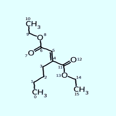 CCCC/C(=C\C(=O)OCC)C(=O)OCC